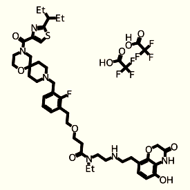 CCC(CC)c1nc(C(=O)N2CCOC3(CCN(Cc4cccc(CCOCCC(=O)N(CC)CCNCCc5ccc(O)c6c5OCC(=O)N6)c4F)CC3)C2)cs1.O=C(O)C(F)(F)F.O=C(O)C(F)(F)F